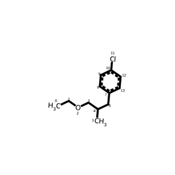 CCOCC(C)Cc1ccc(Cl)cc1